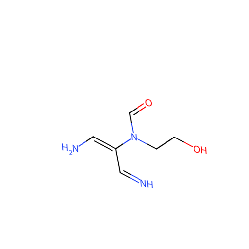 N=C/C(=C\N)N(C=O)CCO